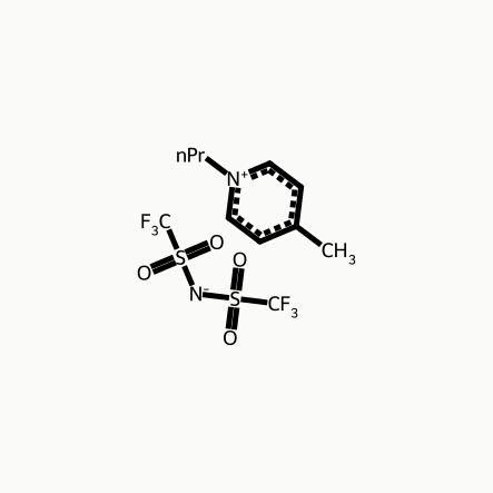 CCC[n+]1ccc(C)cc1.O=S(=O)([N-]S(=O)(=O)C(F)(F)F)C(F)(F)F